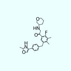 Cc1c(Cc2ccc(C3=COC(C)N3)cc2)cc(C(=O)CNC2CCCOC2)c(F)c1C